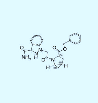 NC(=O)C1NN(CC(=O)N2[C@@H]3C[C@@H]3C[C@H]2C(=O)OCc2ccccc2)c2ccccc21